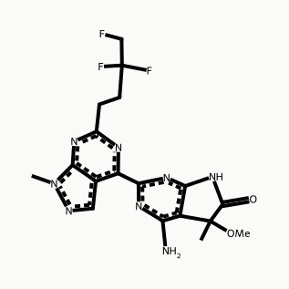 COC1(C)C(=O)Nc2nc(-c3nc(CCC(F)(F)CF)nc4c3cnn4C)nc(N)c21